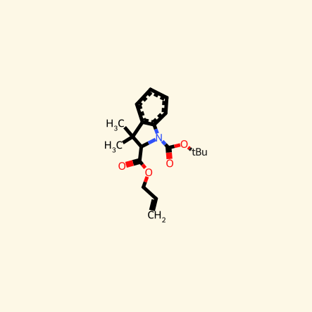 C=CCOC(=O)C1N(C(=O)OC(C)(C)C)c2ccccc2C1(C)C